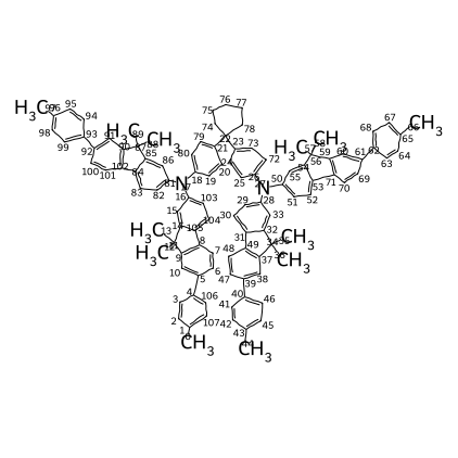 Cc1ccc(-c2ccc3c(c2)C(C)(C)c2cc(N(c4ccc(C5(c6ccc(N(c7ccc8c(c7)C(C)(C)c7cc(-c9ccc(C)cc9)ccc7-8)c7ccc8c(c7)C(C)(C)c7cc(-c9ccc(C)cc9)ccc7-8)cc6)CCCCC5)cc4)c4ccc5c(c4)C(C)(C)c4cc(-c6ccc(C)cc6)ccc4-5)ccc2-3)cc1